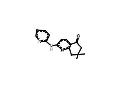 CC1(C)CC(=O)c2ccc(Nc3ccccn3)nc2C1